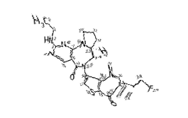 CCNc1ncc2c(n1)N1CCC[C@H]1CN(c1csc3c(=O)n(CCF)cnc13)C2=O